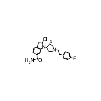 CC1Cc2ccc(C(N)=O)cc2N1C1CCN(CCc2ccc(F)cc2)CC1